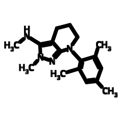 CNc1c2c(nn1C)N(c1c(C)cc(C)cc1C)CCC2